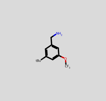 CC(C)(C)c1cc(CN)cc(OC(F)(F)F)c1